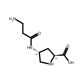 NCCC(=O)N[C@H]1CN[C@H](C(=O)O)C1